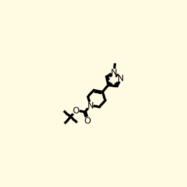 Cn1cc(C2=CCN(C(=O)OC(C)(C)C)CC2)cn1